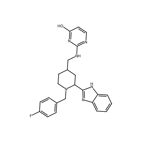 Oc1ccnc(NCC2CCN(Cc3ccc(F)cc3)C(c3nc4ccccc4[nH]3)C2)n1